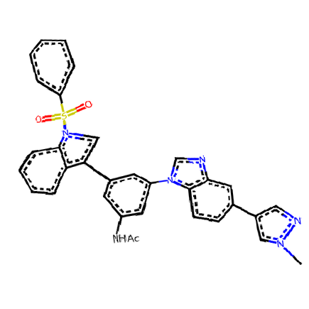 CC(=O)Nc1cc(-c2cn(S(=O)(=O)c3ccccc3)c3ccccc23)cc(-n2cnc3cc(-c4cnn(C)c4)ccc32)c1